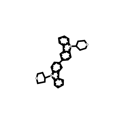 c1ccc2c(c1)c1cc(-c3ccc4c(c3)c3ccccc3n4C3CCOCC3)ccc1n2C1CCOCC1